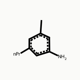 CCCc1cc(C)cc(N)c1